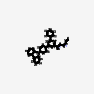 C=C/C=C\C=C(/C)c1cc(-c2ccc(-n3c4ccccc4c4ccccc43)cc2)cc(-c2ccccc2)n1